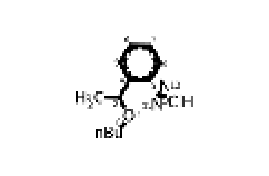 CCCCOC(C)c1ccccc1.Cl.N#N